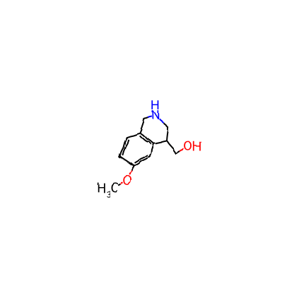 COc1ccc2c(c1)C(CO)CNC2